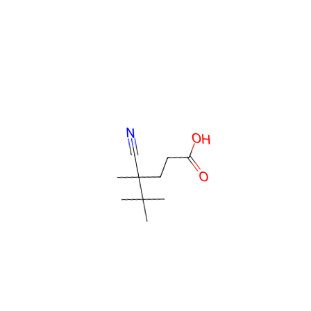 CC(C)(C)C(C)(C#N)CCC(=O)O